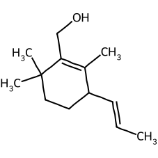 CC=CC1CCC(C)(C)C(CO)=C1C